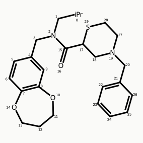 CC(C)CN(Cc1ccc2c(c1)OCCCO2)C(=O)C1CN(Cc2ccccc2)CCS1